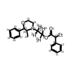 [2H]C([2H])(OC(=O)C(CC)c1ccccc1)C([2H])([2H])N1CCOC(c2ccccc2)C1C